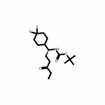 CCC(=O)CC[C@H](NC(=O)OC(C)(C)C)C1CCC(F)(F)CC1